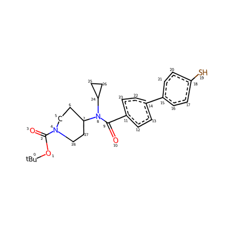 CC(C)(C)OC(=O)N1CCC(N(C(=O)c2ccc(-c3ccc(S)cc3)cc2)C2CC2)CC1